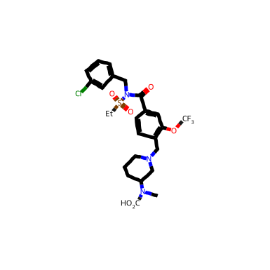 CCS(=O)(=O)N(Cc1cccc(Cl)c1)C(=O)c1ccc(CN2CCCC(N(C)C(=O)O)C2)c(OC(F)(F)F)c1